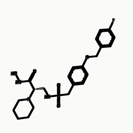 O=C(NO)[C@H](CNS(=O)(=O)Cc1ccc(OCc2ccc(F)cc2)cc1)N1CCCCC1